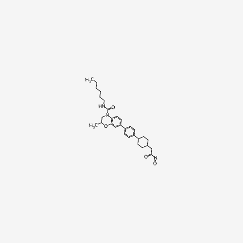 CCCCCCNC(=O)N1CC(C)Oc2cc(-c3ccc(C4CCC(CC(=O)N=O)CC4)cc3)ccc21